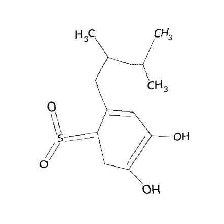 CC(C)C(C)CC1=CC(O)=C(O)CC1=S(=O)=O